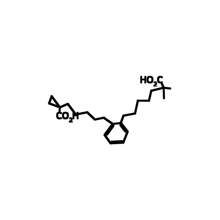 CC(C)(CCCCCc1ccccc1CCCCCC1(C(=O)O)CC1)C(=O)O